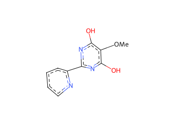 COc1c(O)nc(-c2ccccn2)nc1O